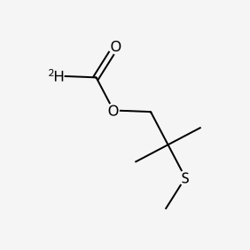 [2H]C(=O)OCC(C)(C)SC